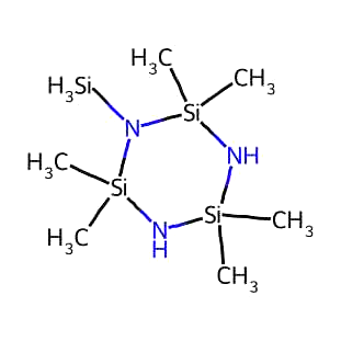 C[Si]1(C)N[Si](C)(C)N([SiH3])[Si](C)(C)N1